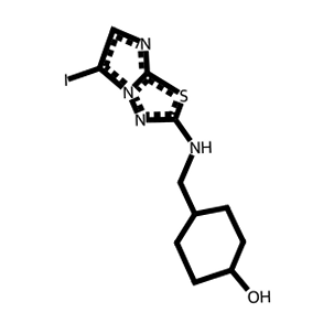 OC1CCC(CNc2nn3c(I)cnc3s2)CC1